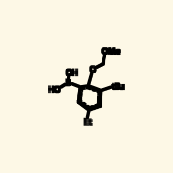 CCc1cc(B(O)O)c(OCOC)c(C(C)(C)C)c1